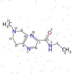 CCNC(=O)c1cnc2c(n1)CN(C)CC2